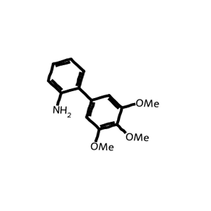 COc1cc(-c2ccccc2N)cc(OC)c1OC